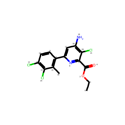 CCOC(=O)c1nc(-c2ccc(Cl)c(Cl)c2C)cc(N)c1Cl